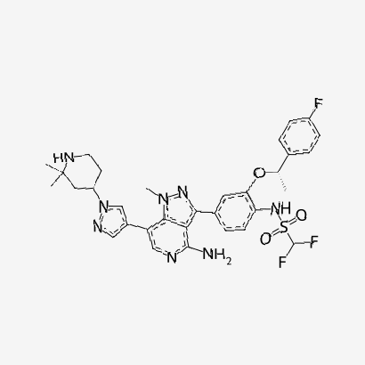 C[C@H](Oc1cc(-c2nn(C)c3c(-c4cnn(C5CCNC(C)(C)C5)c4)cnc(N)c23)ccc1NS(=O)(=O)C(F)F)c1ccc(F)cc1